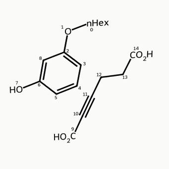 CCCCCCOc1cccc(O)c1.O=C(O)C#CCCC(=O)O